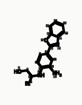 CCC(CO)Nc1ccc(-c2nc3ccccc3o2)cc1N